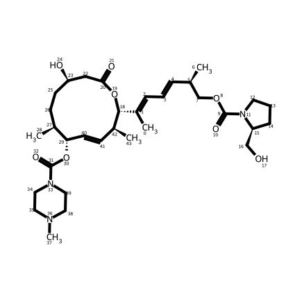 C/C(=C\C=C\[C@@H](C)COC(=O)N1CCC[C@H]1CO)[C@H]1OC(=O)C[C@H](O)CC[C@H](C)[C@@H](OC(=O)N2CCN(C)CC2)/C=C/[C@@H]1C